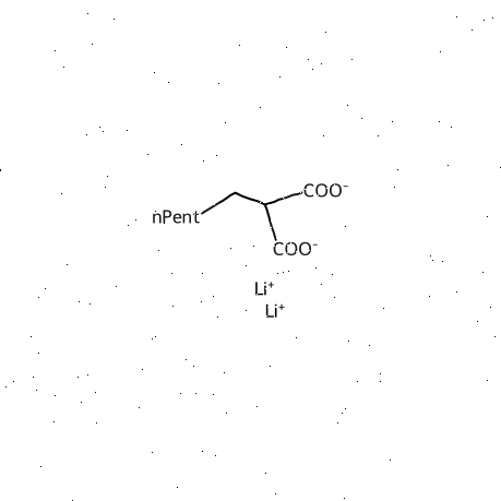 CCCCCCC(C(=O)[O-])C(=O)[O-].[Li+].[Li+]